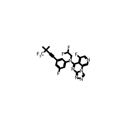 CC(C)(C#Cc1cc(F)cc(N(CC(F)F)c2nc3nncn3c3cncc(F)c23)c1)C(F)(F)F